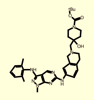 Cc1cccc(C)c1Nc1nn(C)c2nc(Nc3ccc4c(c3)CN(CC3(O)CCN(C(=O)OC(C)(C)C)CC3)CC4)ncc12